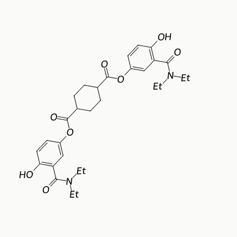 CCN(CC)C(=O)c1cc(OC(=O)C2CCC(C(=O)Oc3ccc(O)c(C(=O)N(CC)CC)c3)CC2)ccc1O